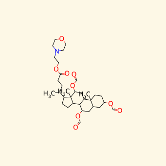 CC(CCC(=O)OCCN1CCOCC1)C1CCC2C3C(OC=O)CC4CC(OC=O)CCC4(C)C3CC(OC=O)C12C